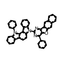 c1ccc(-c2nc(-n3c4ccccc4c4c3ccc3c5ccccc5n(-c5ccccc5)c34)nc3c2oc2cc4ccccc4cc23)cc1